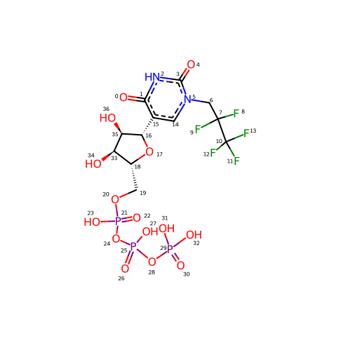 O=c1[nH]c(=O)n(CC(F)(F)C(F)(F)F)cc1[C@@H]1O[C@H](COP(=O)(O)OP(=O)(O)OP(=O)(O)O)[C@@H](O)[C@H]1O